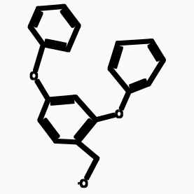 [O]Cc1ccc(Oc2ccccc2)cc1Oc1ccccc1